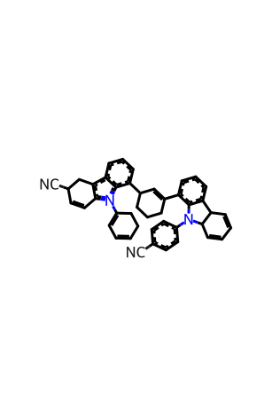 N#Cc1ccc(N2c3c(C4=CC(c5cccc6c7c(n(C8=CC=CCC8)c56)C=CC(C#N)C7)CCC4)cccc3C3C=CC=CC32)cc1